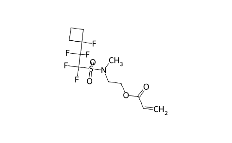 C=CC(=O)OCCN(C)S(=O)(=O)C(F)(F)C(F)(F)C1(F)CCC1